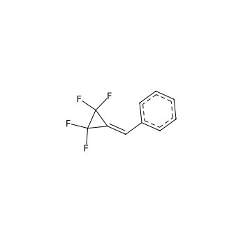 FC1(F)C(=Cc2ccccc2)C1(F)F